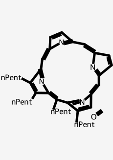 C=O.CCCCCC1=CC2=CC3=NC(=CC4=NC(=CC5=NC(=C(CCCCC)C1=N2)C(CCCCC)=C5CCCCC)C=C4)C=C3